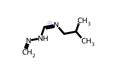 C=NN/C=N\CC(C)C